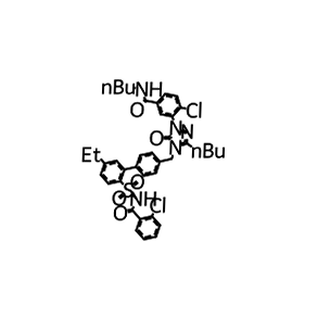 CCCCNC(=O)c1ccc(Cl)c(-n2nc(CCCC)n(Cc3ccc(-c4cc(CC)ccc4S(=O)(=O)NC(=O)c4ccccc4Cl)cc3)c2=O)c1